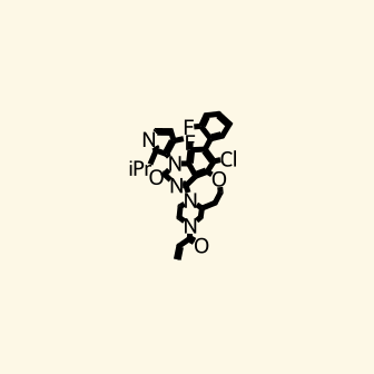 C=CC(=O)N1CCN2c3nc(=O)n(-c4c(C)ccnc4C(C)C)c4c(F)c(-c5ccccc5F)c(Cl)c(c34)OCCC2C1